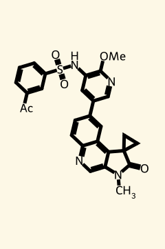 COc1ncc(-c2ccc3ncc4c(c3c2)C2(CC2)C(=O)N4C)cc1NS(=O)(=O)c1cccc(C(C)=O)c1